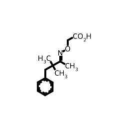 CC(=NOCC(=O)O)C(C)(C)Cc1ccccc1